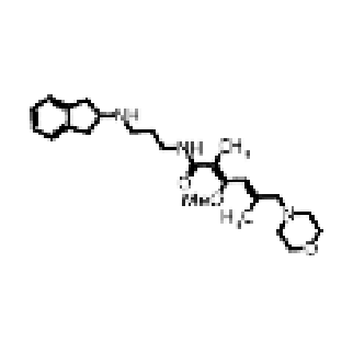 COC(/C=C(\C)CN1CCOCC1)=C(/C)C(=O)NCCCNC1Cc2ccccc2C1